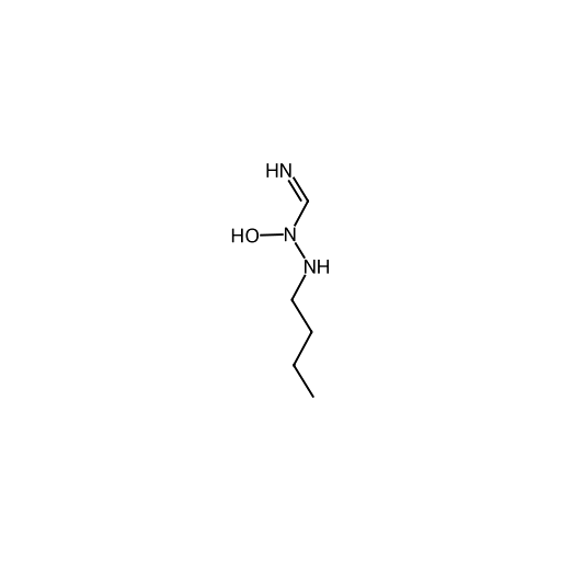 CCCCNN(O)C=N